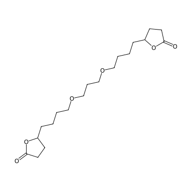 O=C1CCC(CCCCOCCCOCCCCC2CCC(=O)O2)O1